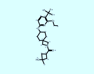 CCOc1nc(OC2CCC3(CC2)CN(C(=O)C2CC(C)(O)C2)C3)ccc1C(F)(F)F